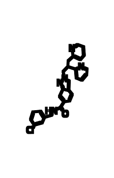 O=C(NCc1cccc(Cl)c1)c1ccc2cn(CC(Cc3ccccn3)c3ccccn3)nc2c1